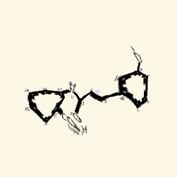 O=C(/C=C/c1cccc(Cl)c1)Nc1ccccc1C(=O)O